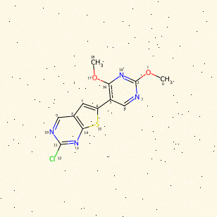 COc1ncc(-c2cc3cnc(Cl)nc3s2)c(OC)n1